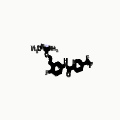 C/N=C(/N)OCCc1cc(NC(=O)c2ccc(C(F)F)cn2)ccc1F